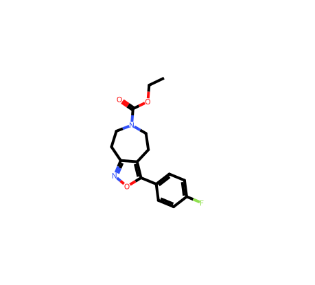 CCOC(=O)N1CCc2noc(-c3ccc(F)cc3)c2CC1